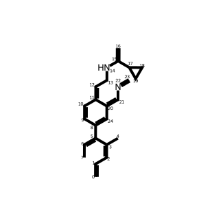 C=C/C=C(C)\C(=C/C)c1ccc(=C/CNC(=C)C2CC2)/c(=C\N=C)c1